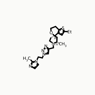 CCc1cc2c(s1)CCO[C@@]21CCN(Cc2cn(CCn3ccnc3C)nn2)[C@@H](C)C1